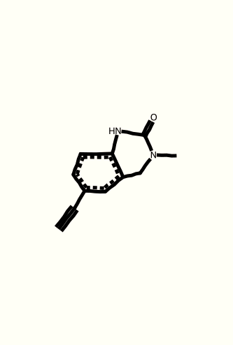 C#Cc1ccc2c(c1)CN(C)C(=O)N2